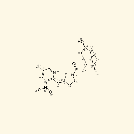 O=C(OC1C2CC3C[C@H]1C[C@@](O)(C3)C2)N1CC[C@@H](Nc2ncc(Cl)cc2[N+](=O)[O-])C1